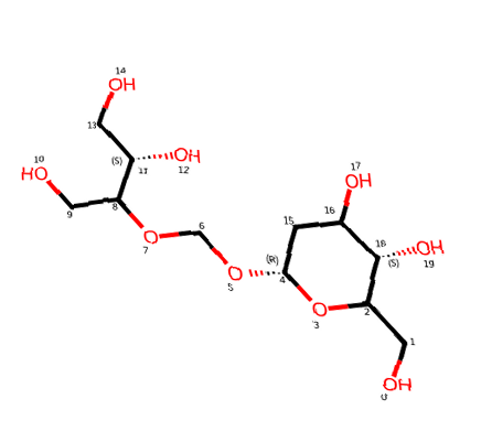 OCC1O[C@H](OCOC(CO)[C@@H](O)CO)CC(O)[C@@H]1O